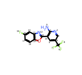 Nc1ncc(C(F)(F)F)cc1-c1nc2cc(F)ccc2o1